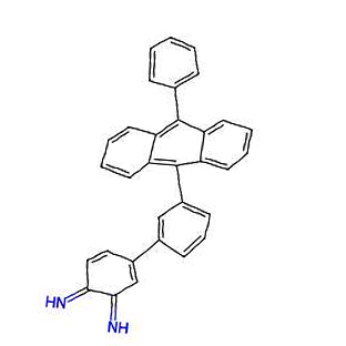 N=C1C=CC(c2cccc(-c3c4ccccc4c(-c4ccccc4)c4ccccc34)c2)=CC1=N